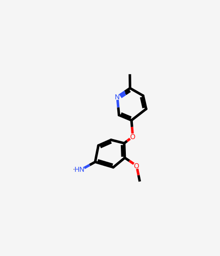 COc1cc([NH])ccc1Oc1ccc(C)nc1